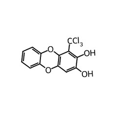 Oc1cc2c(c(C(Cl)(Cl)Cl)c1O)Oc1ccccc1O2